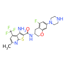 Cc1cc(C(F)(F)F)c2c(N)c(C(=O)N[C@H]3COc4cc(N5CCNCC5)cc(F)c4C3)sc2n1